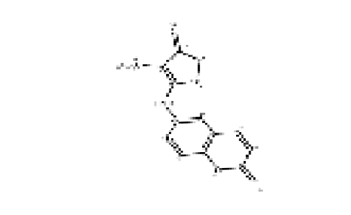 CCOC(=O)C1=C(Nc2ccc3oc(=O)ccc3c2)SCC1=O